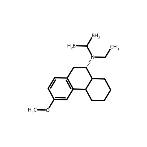 BC(B)N(CC)[C@H]1Cc2ccc(OC)cc2C2CCCCC21